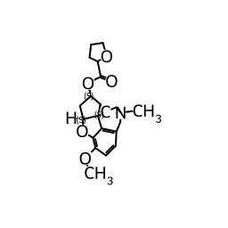 COc1ccc2c3c1O[C@H]1C[C@@H](OC(=O)C4CCCO4)C[C@@]31CCN(C)C2